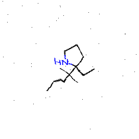 CCCC(C)(C)C1(CC)CCCN1